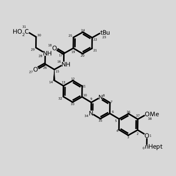 CCCCCCCOc1ccc(-c2cnc(-c3ccc(C[C@H](NC(=O)c4ccc(C(C)(C)C)cc4)C(=O)NCCC(=O)O)cc3)nc2)cc1OC